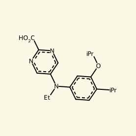 CCN(c1cnc(C(=O)O)nc1)c1ccc(C(C)C)c(OC(C)C)c1